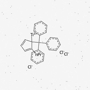 CCCC1=CC=C[C]1([Ti+3])C(c1ccccc1)(c1ccccc1)c1ccccc1.[Cl-].[Cl-].[Cl-]